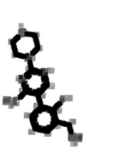 Cc1nc(N2CCOCC2)ncc1-c1cccc(CO)c1F